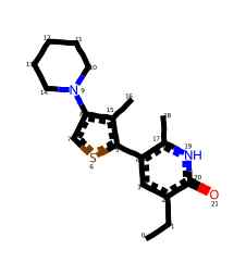 CCc1cc(-c2scc(N3CCCCC3)c2C)c(C)[nH]c1=O